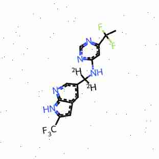 [2H]C([2H])(Nc1cc(C(C)(F)F)ncn1)c1cnc2[nH]c(C(F)(F)F)cc2c1